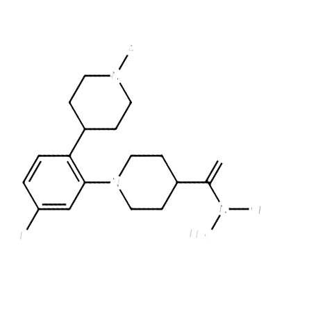 CC(=O)N1CCC(c2ccc(F)cc2N2CCC(C(=O)N(C)C)CC2)CC1